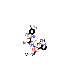 CNCC(=O)OCc1cccnc1N(C)C(=O)OCn1nc(Br)c(C(=O)Nc2ccc(C)cc2Cl)n1